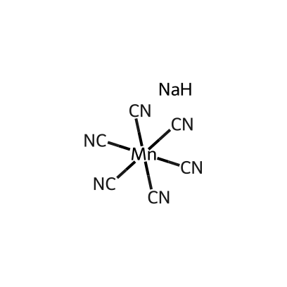 N#[C][Mn]([C]#N)([C]#N)([C]#N)([C]#N)[C]#N.[NaH]